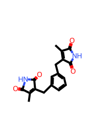 CC1=C(Cc2cccc(CC3=C(C)C(=O)NC3=O)c2)C(=O)NC1=O